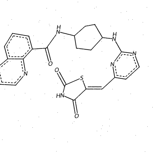 O=C1NC(=O)C(=Cc2ccnc(NC3CCC(NC(=O)c4cccc5cccnc45)CC3)n2)S1